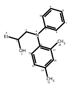 CCC(O)CN(c1ccccc1)c1ccc(C)cc1C